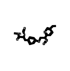 CCc1ccc(C(COc2ccc(CC(SC=O)C(=O)NC)cc2)N=O)nc1